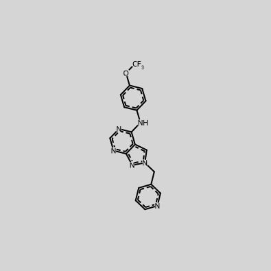 FC(F)(F)Oc1ccc(Nc2ncnc3nn(Cc4cccnc4)cc23)cc1